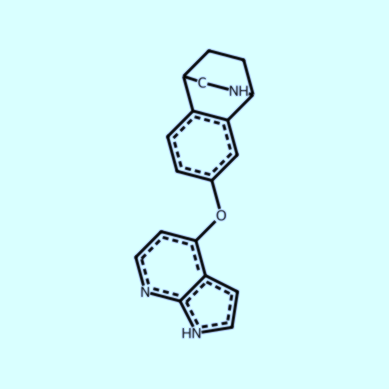 c1cc(Oc2ccc3c(c2)C2CCC3CN2)c2cc[nH]c2n1